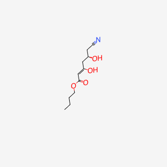 CCCCOC(=O)/C=C(\O)C[C@H](O)CC#N